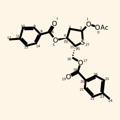 CC(=O)OOC1C[C@H](OC(=O)c2ccc(C)cc2)[C@@H](COC(=O)c2ccc(C)cc2)S1